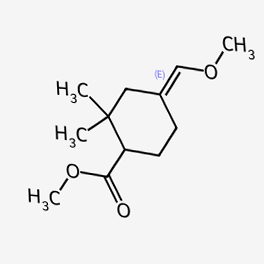 CO/C=C1\CCC(C(=O)OC)C(C)(C)C1